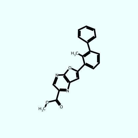 COC(=O)c1cnc2oc(-c3cccc(-c4ccccc4)c3C)cc2n1